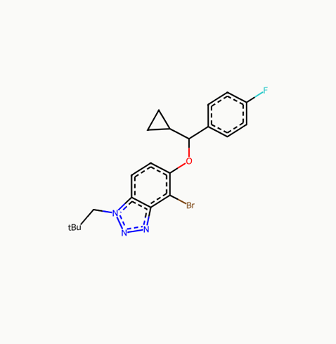 CC(C)(C)Cn1nnc2c(Br)c(OC(c3ccc(F)cc3)C3CC3)ccc21